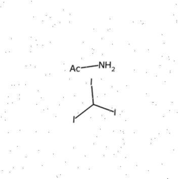 CC(N)=O.IC(I)I